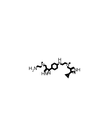 CN(CCN)Cc1c[nH]nc1C1CCC(NCCN(C)Cc2c[nH]nc2C2CC2)CC1